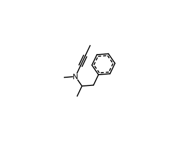 CC#CN(C)C(C)Cc1ccccc1